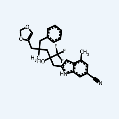 Cc1cc(C#N)cc2[nH]c(CC(O)(CC(C)(CC3=COCO3)Cc3ccccc3)C(F)(F)F)cc12